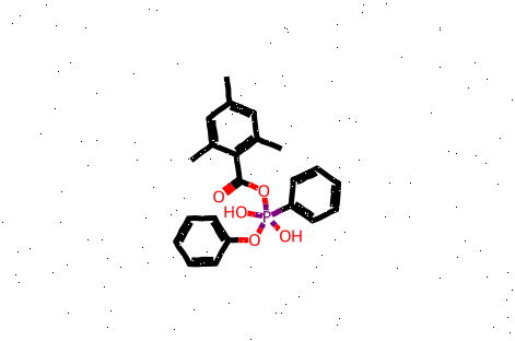 Cc1cc(C)c(C(=O)OP(O)(O)(Oc2ccccc2)c2ccccc2)c(C)c1